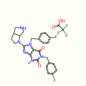 Cn1c(=O)n(Cc2ccc(F)cc2)c(=O)c2c1nc(N1CCC3CNCC31)n2Cc1ccc(F)cc1.O=C(O)C(F)(F)F